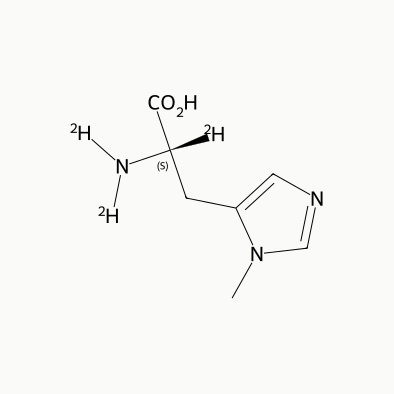 [2H]N([2H])[C@@]([2H])(Cc1cncn1C)C(=O)O